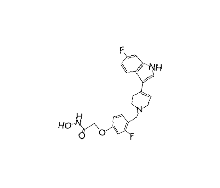 O=C(COc1ccc(CN2CC=C(c3c[nH]c4cc(F)ccc34)CC2)c(F)c1)NO